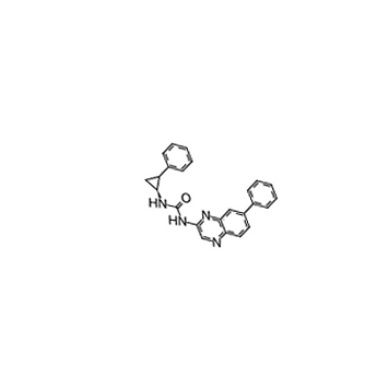 O=C(Nc1cnc2ccc(-c3ccccc3)cc2n1)N[C@H]1CC1c1ccccc1